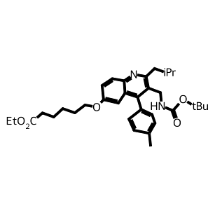 CCOC(=O)CCCCCOc1ccc2nc(CC(C)C)c(CNC(=O)OC(C)(C)C)c(-c3ccc(C)cc3)c2c1